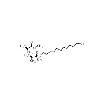 C=C(C)C(=O)O.C=C(C)C(=O)OC.CCCCCCCCCCCCS